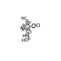 Cc1c(CC#N)sc2c1C(c1ccc(Cl)cc1)=N[C@@H](CC(=O)NC[C@H](C)O)c1nnc(C)n1-2